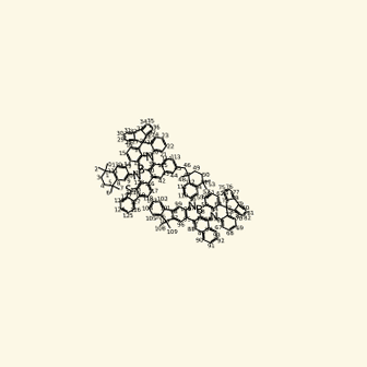 CC1(C)CCC(C)(C)c2cc(N3B4c5cccc6c5N(c5ccccc5C65c6ccccc6-c6ccccc65)c5c4c(cc4cc(CC6(C)CCC(C)(C)c7cc(N8B9c%10cccc%11c%10N(c%10ccccc%10C%11%10c%11ccccc%11-c%11ccccc%11%10)c%10c9c(cc9ccccc%109)-c9cc%10c(cc98)-c8ccccc8C%10(C)C)ccc76)ccc54)-c4ccc5c(sc6ccccc65)c43)ccc21